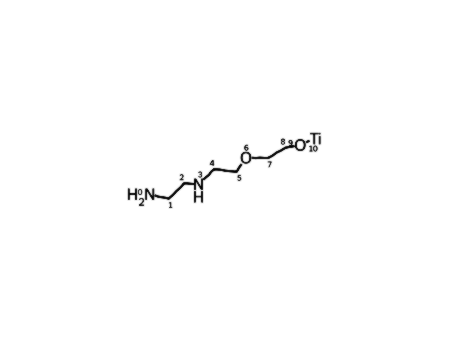 NCCNCCOCC[O][Ti]